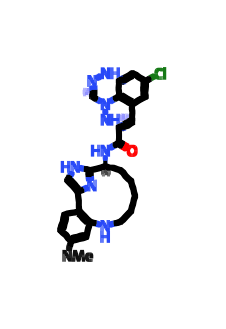 CNc1ccc2c(c1)NCCCCC[C@H](NC(=O)/C=C/c1cc(Cl)ccc1N(N)/C=N\N)c1nc-2c[nH]1